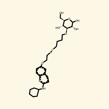 OC[C@H]1OC(O)[C@H](O)[C@@H](OCCCCCCCCOc2ccc3nc(NC4CCCCC4)ccc3c2)[C@@H]1O